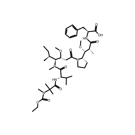 CCOC(=O)N(C)C(C)(C)C(=O)N[C@H](C(=O)N(C)[C@@H]([C@@H](C)CC)[C@@H](CC(=O)N1CCC[C@H]1[C@H](OC)[C@@H](C)C(=O)N[C@@H](Cc1ccccc1)C(=O)O)OC)C(C)C